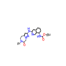 CC(C)N1CCc2cc(Nc3cc4cccc(NC(=O)OC(C)(C)C)c4cn3)nn2CC1=O